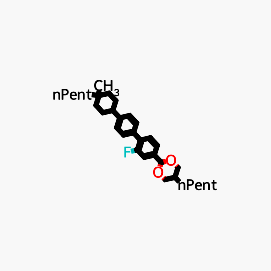 CCCCCC1COC(c2ccc(-c3ccc(C4CCC(C)(CCCCC)CC4)cc3)c(F)c2)OC1